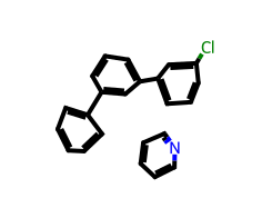 Clc1cccc(-c2cccc(-c3ccccc3)c2)c1.c1ccncc1